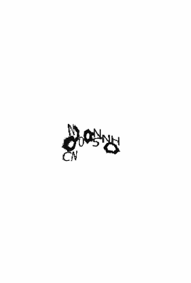 N#Cc1ccc2nccc(Oc3ccc4nc(NC5CCCCC5)sc4c3)c2c1